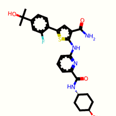 CC(C)(O)c1ccc(-c2cc(C(N)=O)c(Nc3cccc(C(=O)N[C@H]4CC[C@H](O)CC4)n3)s2)c(F)c1